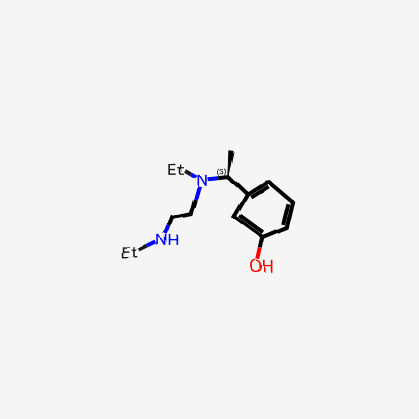 CCNCCN(CC)[C@@H](C)c1cccc(O)c1